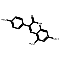 COc1ccc(-c2cc3c(OC)cc(OC)cc3[nH]c2=O)cc1